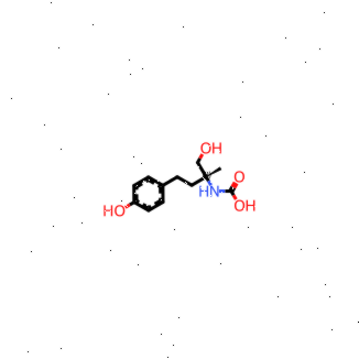 C[C@](CO)(CCc1ccc(O)cc1)NC(=O)O